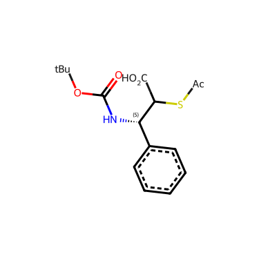 CC(=O)SC(C(=O)O)[C@@H](NC(=O)OC(C)(C)C)c1ccccc1